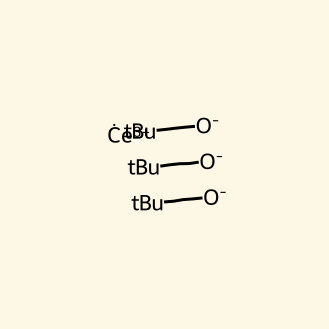 CC(C)(C)[O-].CC(C)(C)[O-].CC(C)(C)[O-].[Ce+3]